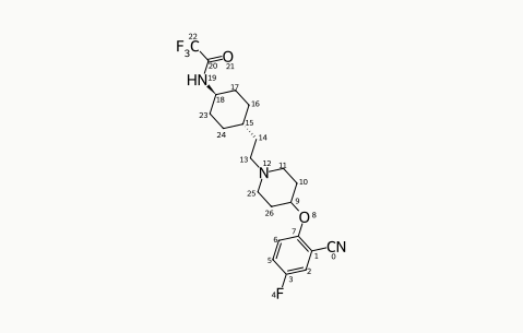 N#Cc1cc(F)ccc1OC1CCN(CC[C@H]2CC[C@H](NC(=O)C(F)(F)F)CC2)CC1